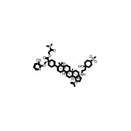 C=C(C)[C@@H]1CC[C@]2(NCCC3(O)CCC(S(C)(=O)=O)CC3)CC[C@]3(C)[C@H](CC[C@@H]4[C@@]5(C)CC=C(C6=CC[C@@](COc7ncccc7C#N)(C(=O)OCC(=O)N(C)C)CC6)C(C)(C)[C@@H]5CC[C@]43C)[C@@H]12